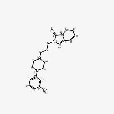 O=c1n(CCCN2CCN(c3cccc(Br)c3)CC2)nc2ccccn12